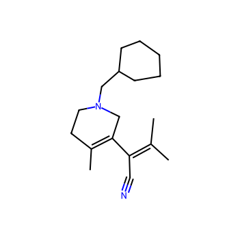 CC(C)=C(C#N)C1=C(C)CCN(CC2CCCCC2)C1